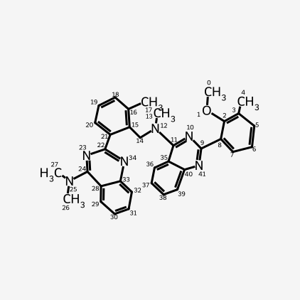 COc1c(C)cccc1-c1nc(N(C)Cc2c(C)cccc2-c2nc(N(C)C)c3ccccc3n2)c2ccccc2n1